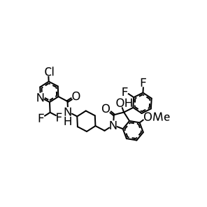 COc1cccc2c1C(O)(c1cccc(F)c1F)C(=O)N2CC1CCC(NC(=O)c2cc(Cl)cnc2C(F)F)CC1